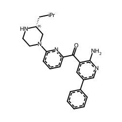 CC(C)C[C@@H]1CN(c2cccc(C(=O)c3cc(-c4ccccc4)cnc3N)n2)CCN1